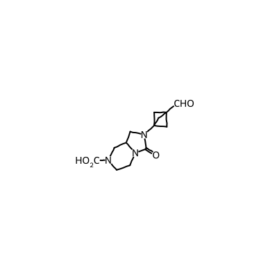 O=CC12CC(N3CC4CN(C(=O)O)CCN4C3=O)(C1)C2